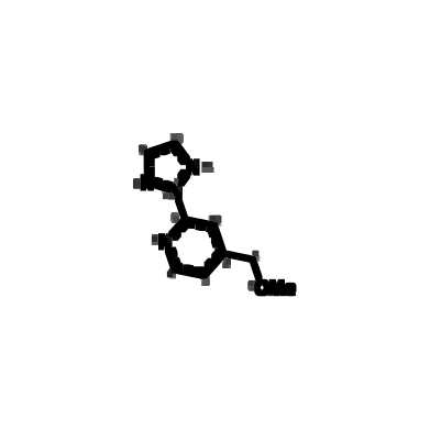 COCc1ccnc(-n2nccn2)c1